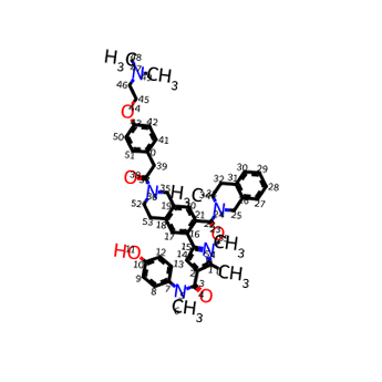 Cc1c(C(=O)N(C)c2ccc(O)cc2)cc(-c2cc3c(cc2C(=O)N2Cc4ccccc4C[C@H]2C)CN(C(=O)Cc2ccc(OCCN(C)C)cc2)CC3)n1C